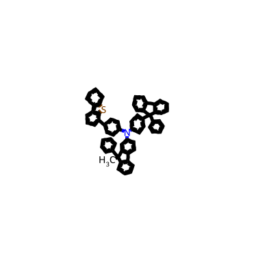 CC1(c2ccccc2)c2ccccc2-c2ccc(N(c3ccc(-c4cccc5c4sc4ccccc45)cc3)c3ccc(C4(c5ccccc5)c5ccccc5-c5ccccc54)cc3)cc21